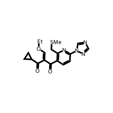 CCOC=C(C(=O)c1ccc(-n2cncn2)nc1CSC)C(=O)C1CC1